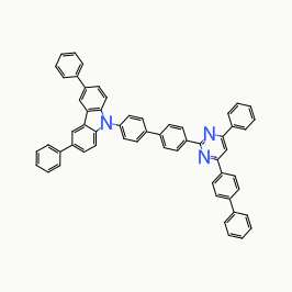 c1ccc(-c2ccc(-c3cc(-c4ccccc4)nc(-c4ccc(-c5ccc(-n6c7ccc(-c8ccccc8)cc7c7cc(-c8ccccc8)ccc76)cc5)cc4)n3)cc2)cc1